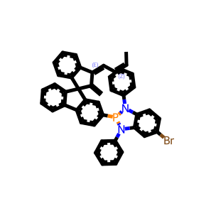 C=C1/C(=C\C=C/C)c2ccccc2C12c1ccccc1-c1ccc(P3N(c4ccccc4)c4ccc(Br)cc4N3c3ccccc3)cc12